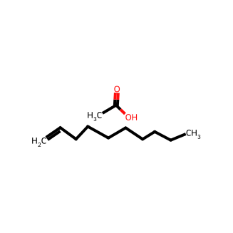 C=CCCCCCCCC.CC(=O)O